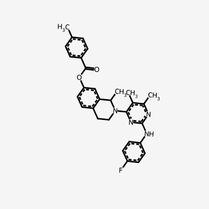 Cc1ccc(C(=O)Oc2ccc3c(c2)C(C)N(c2nc(Nc4ccc(F)cc4)nc(C)c2C)CC3)cc1